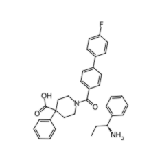 CC[C@H](N)c1ccccc1.O=C(c1ccc(-c2ccc(F)cc2)cc1)N1CCC(C(=O)O)(c2ccccc2)CC1